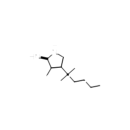 CCCCC(C)(C)C1CNC(=N)C1C